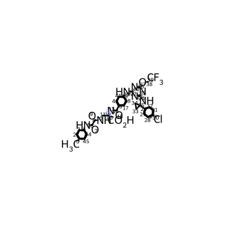 Cc1ccc(NC(=O)C(=O)NC/C(=N/C(=O)c2ccc(Nc3nc(NC4(c5ccc(Cl)cc5)CC4)nc(OCC(F)(F)F)n3)cc2)C(=O)O)cc1